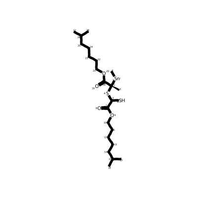 [CH3][Sn][C@](C)(SC(S)C(=O)OCCCCCC(C)C)C(=O)OCCCCCC(C)C